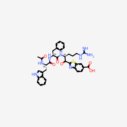 CC(=O)N[C@@H](Cc1c[nH]c2ccccc12)C(=O)N[C@@H](Cc1ccccc1)C(=O)N[C@@H](CCCNC(=N)N)C(=O)c1nc2ccc(C(=O)O)cc2s1